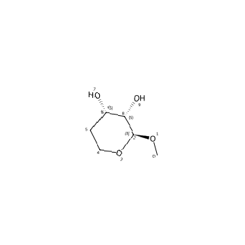 CO[C@H]1OCC[C@H](O)[C@@H]1O